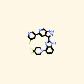 Fc1cncc(-c2cc3c(-c4nc5c(N6CCC(F)(F)CC6)cccc5[nH]4)n[nH]c3cn2)c1